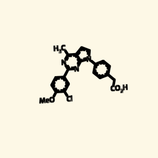 COc1ccc(-c2nc(C)c3ccn(-c4ccc(CC(=O)O)cc4)c3n2)cc1Cl